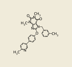 Cc1cccc(Cn2c(Oc3ccc(-c4ccc(C)nc4)cc3)nc3c2c(=O)n(C)c(=O)n3C)c1